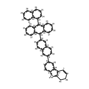 C1=Cc2c(oc3ccc(-c4ccc5cc(-c6c7ccccc7c(-c7cccc8ccccc78)c7ccccc67)ccc5c4)cc23)CC1